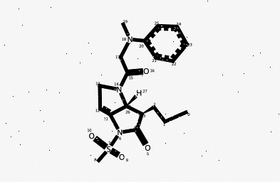 CCC[C@H]1C(=O)N(S(C)(=O)=O)C2=CCN(C(=O)CN(C)c3ccccc3)[C@@H]21